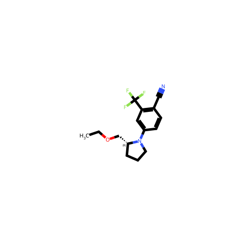 CCOC[C@H]1CCCN1c1ccc(C#N)c(C(F)(F)F)c1